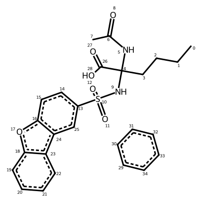 CCCCC(NC(C)=O)(NS(=O)(=O)c1ccc2oc3ccccc3c2c1)C(=O)O.c1ccccc1